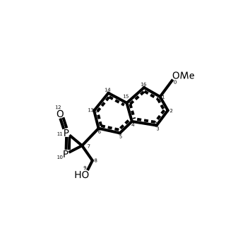 COc1ccc2cc(C3(CO)P=P3=O)ccc2c1